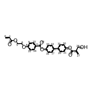 C=CC(=O)OCCOc1ccc(C(=O)Oc2ccc(-c3ccc(OC(=O)C(=C)CO)cc3)cc2)cc1